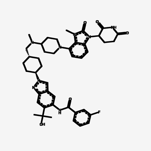 CN(C[C@H]1CC[C@H](n2cc3cc(NC(=O)c4cccc(F)c4)c(C(C)(C)O)cc3n2)CC1)C1CCN(c2cccc3c2n(C)c(=O)n3C2CCC(=O)NC2=O)CC1